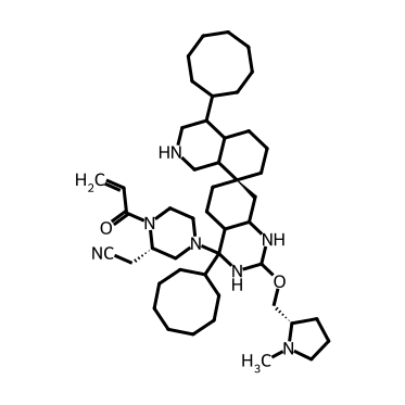 C=CC(=O)N1CCN(C2(C3CCCCCCC3)NC(OC[C@@H]3CCCN3C)NC3C[C@@]4(CCCC5C(C6CCCCCCC6)CNCC54)CCC32)C[C@@H]1CC#N